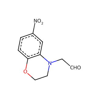 O=CCN1CCOc2ccc([N+](=O)[O-])cc21